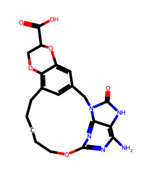 Nc1nc2nc3c1[nH]c(=O)n3Cc1cc(c3c(c1)OC(C(=O)O)CO3)CCCCCO2